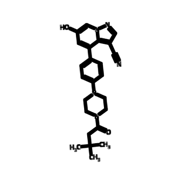 CC(C)(C)CC(=O)N1CCN(c2ccc(-c3cc(O)cn4ncc(C#N)c34)cc2)CC1